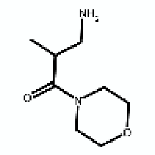 CC(CN)C(=O)N1CCOCC1